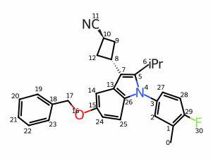 Cc1cc(-n2c(C(C)C)c([C@H]3C[C@H](C#N)C3)c3cc(OCc4ccccc4)ccc32)ccc1F